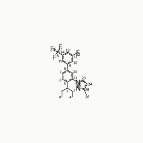 CCC(CC)c1ccc(-c2cc(F)cc(C(F)(F)F)c2)cc1-n1ccc(C)n1